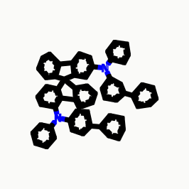 c1ccc(-c2ccc(N(c3ccccc3)c3cccc4c3-c3ccccc3C43c4ccccc4-c4ccc(N(c5ccccc5)c5cccc(-c6ccccc6)c5)cc43)cc2)cc1